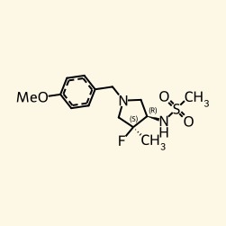 COc1ccc(CN2C[C@@H](NS(C)(=O)=O)[C@@](C)(F)C2)cc1